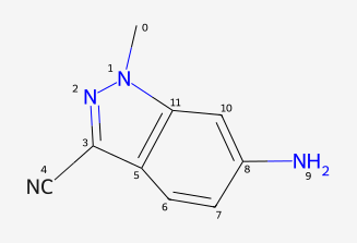 Cn1nc(C#N)c2ccc(N)cc21